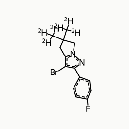 [2H]C([2H])([2H])C1(C([2H])([2H])[2H])Cc2c(Br)c(-c3ccc(F)cc3)nn2C1